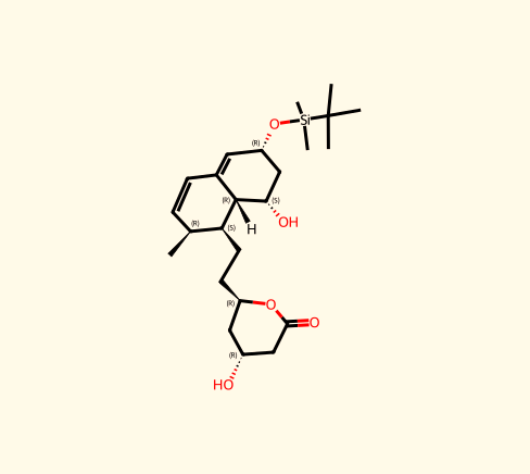 C[C@H]1C=CC2=C[C@H](O[Si](C)(C)C(C)(C)C)C[C@H](O)[C@@H]2[C@H]1CC[C@@H]1C[C@@H](O)CC(=O)O1